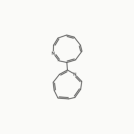 [c]1ncccccccc1-c1ccccccccn1